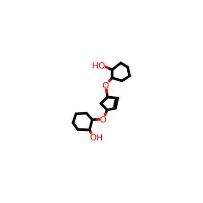 OC1CCCCC1OC1C=CC(OC2CCCCC2O)C1